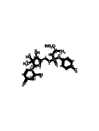 CCOC(=O)[C@H](C)NP(=O)(OC[C@H]1O[C@@H](N2C=CC(=O)NC2S)C(C)(O)[C@H]1O)Oc1ccc(Cl)cc1